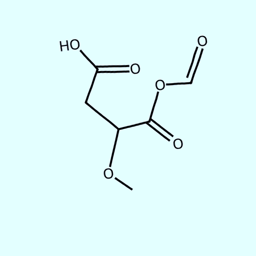 COC(CC(=O)O)C(=O)OC=O